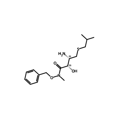 CC(C)CSC[C@@H](N)[C@H](O)C(=O)N(C)OCc1ccccc1